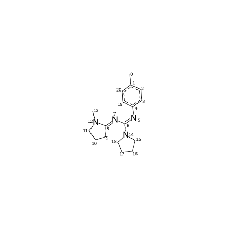 Cc1ccc(N=C(N=C2CCCN2C)N2CCCC2)cc1